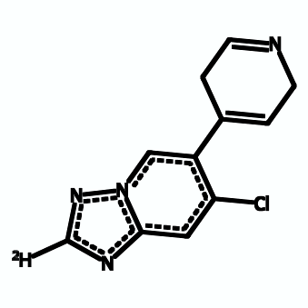 [2H]c1nc2cc(Cl)c(C3=CCN=CC3)cn2n1